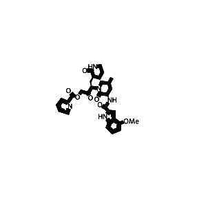 COc1cccc2[nH]c(C(=O)N[C@H]3CC(C)CN([C@@H](C[C@@H]4CCCNC4=O)C(=O)COC(=O)c4ccccn4)C3=O)cc12